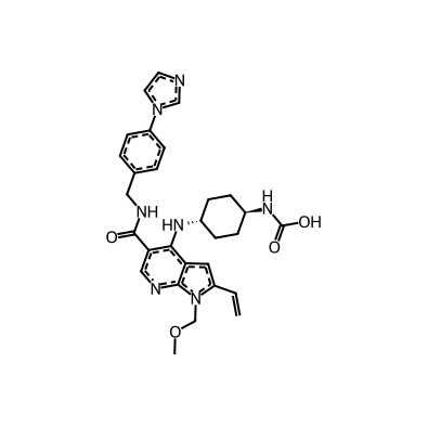 C=Cc1cc2c(N[C@H]3CC[C@H](NC(=O)O)CC3)c(C(=O)NCc3ccc(-n4ccnc4)cc3)cnc2n1COC